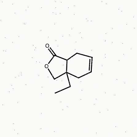 CCC12CC=CCC1C(=O)OC2